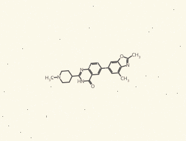 Cc1nc2c(C)cc(-c3ccc4nc(C5CCN(C)CC5)[nH]c(=O)c4c3)cc2o1